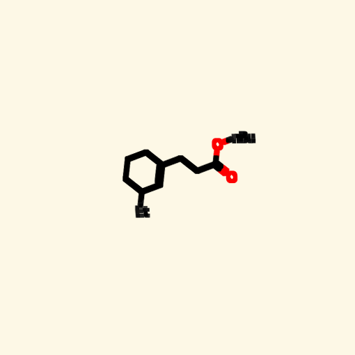 CCCCOC(=O)CCC1=CC(CC)CCC1